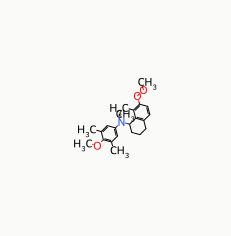 COOc1ccc2c(c1C)C(N(C)c1cc(C)c(OC)c(C)c1)CCC2